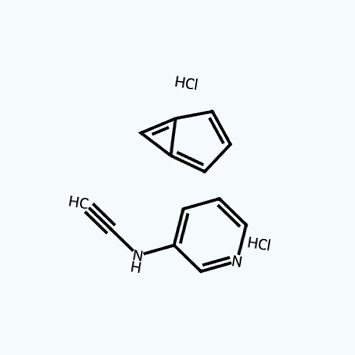 C#CNc1cccnc1.Cl.Cl.c1cc2cc-2c1